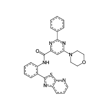 O=C(Nc1ccccc1-c1nc2cccnc2s1)c1cc(N2CCOCC2)nc(-c2ccccc2)n1